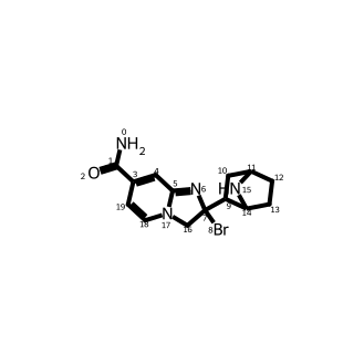 NC(=O)C1=CC2=NC(Br)(C3CC4CCC3N4)CN2C=C1